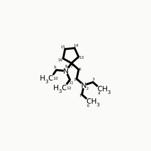 CCN(CC)CCC1(N(CC)CC)[CH]CCC1